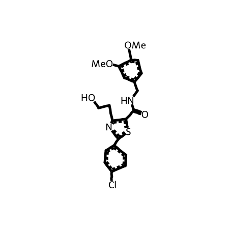 COc1ccc(CNC(=O)c2sc(-c3ccc(Cl)cc3)nc2CCO)cc1OC